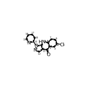 O=c1c2cc(Cl)ccc2[nH]c2c1cnn2-c1ccccn1